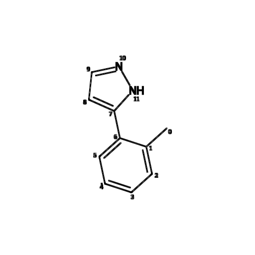 Cc1cc[c]cc1-c1ccn[nH]1